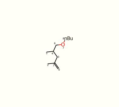 C=C(C)CC(C)COCCCC